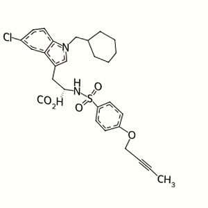 CC#CCOc1ccc(S(=O)(=O)N[C@@H](Cc2cn(CC3CCCCC3)c3ccc(Cl)cc23)C(=O)O)cc1